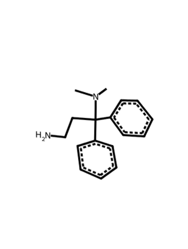 CN(C)C(CCN)(c1ccccc1)c1ccccc1